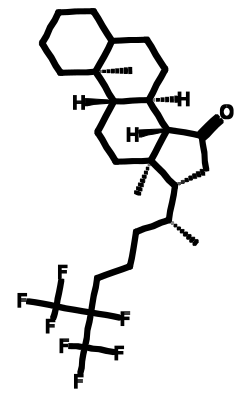 C[C@H](CCCC(F)(C(F)(F)F)C(F)(F)F)[C@H]1CC(=O)[C@H]2[C@@H]3CCC4CCCC[C@]4(C)[C@H]3CC[C@]12C